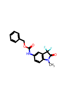 CN1C(=O)C(F)(F)c2cc(NC(=O)OCc3ccccc3)ccc21